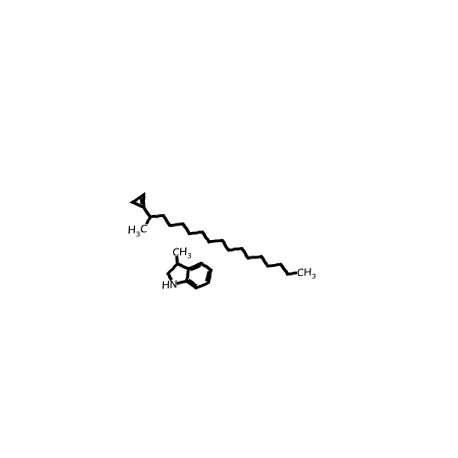 CC1CNc2ccccc21.CCCCCCCCCCCCCCCC(C)C1=CC1